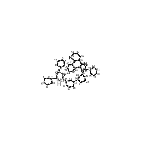 c1ccc(C2=NC(c3ccccc3)NC(c3cccc(-c4cccc(-n5c(-c6ccccc6)nc6c7cccnc7c7ccccc7c65)c4)c3)=N2)cc1